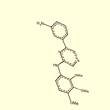 COc1ccc(Nc2cncc(-c3cccc(N)c3)n2)c(OC)c1OC